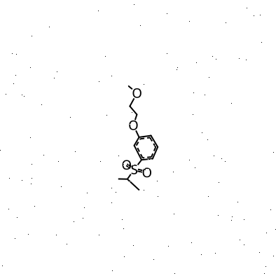 COCCOc1cccc(S(=O)(=O)C(C)C)c1